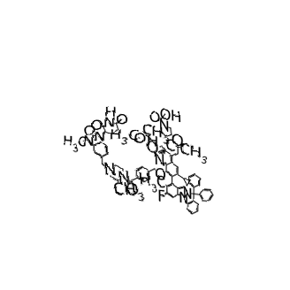 CO[C@@H](C)COc1cc(CC(C)(C)O[C@H]2CCN(C(=O)O)C2)c2cc(C3CC3)c(-c3c(C)c(F)cc4nn(C(c5ccccc5)(c5ccccc5)c5ccccc5)cc34)c(OCc3ccc(C(=O)N4CCN(Cc5ccc6c(c5)n(C)c(=O)n6C5CCC(=O)NC5=O)C[C@@H]4C)cc3)c2n1